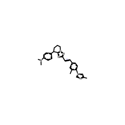 Cc1cn(-c2ccc(/C=C/c3nc4n(n3)CCCC4c3ccc(N(C)C)cc3)cc2C)cn1